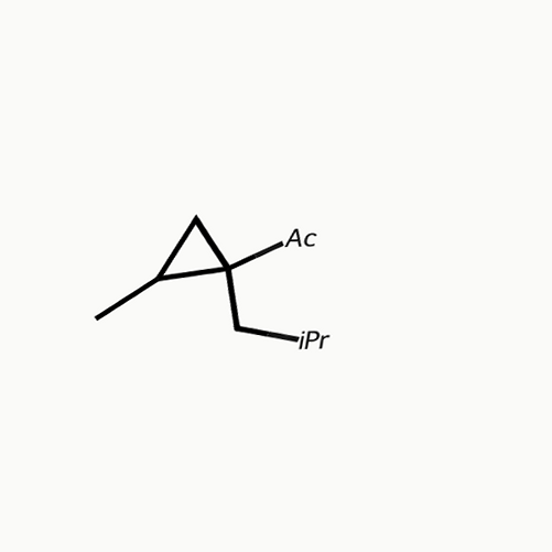 CC(=O)C1(CC(C)C)CC1C